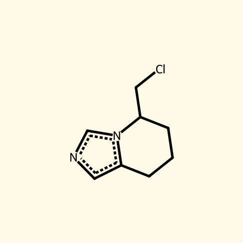 ClCC1CCCc2cncn21